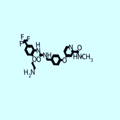 CNC(=O)c1cc(Oc2ccc(CNC(=O)Nc3cc(C(F)(F)F)ccc3OCCN)cc2)ccn1